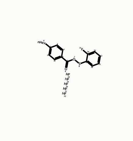 CCCCCCc1ccc(C(=O)OSc2ccccc2F)cc1.F.F.F.F.F